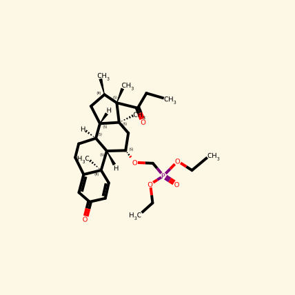 CCOP(=O)(CO[C@H]1C[C@@]2(C)[C@@H](C[C@@H](C)[C@]2(C)C(=O)CC)[C@@H]2CCC3=CC(=O)C=C[C@]3(C)[C@H]21)OCC